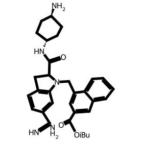 CC(C)COC(=O)c1cc(CN2c3cc(C(=N)N)ccc3CC2C(=O)N[C@H]2CC[C@H](N)CC2)c2ccccc2c1